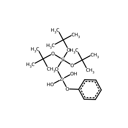 CC(C)(C)O[Si](OC(C)(C)C)(OC(C)(C)C)[O][Zr]([OH])([OH])[O]c1ccccc1